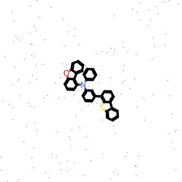 c1ccc(N(c2cccc(-c3cccc4c3sc3ccccc34)c2)c2cccc3oc4ccccc4c23)cc1